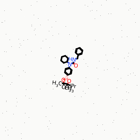 CC(C)C1(C)OB(c2ccc(N(C(=O)NCc3ccccc3)C3CCCCC3)cc2)OC1(C)C